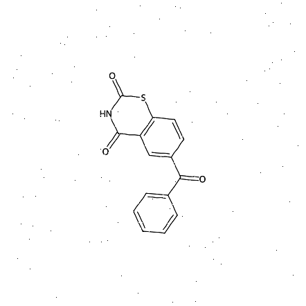 O=C(c1ccccc1)c1ccc2sc(=O)[nH]c(=O)c2c1